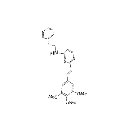 COc1cc(C=Cc2nccc(NCCc3ccccc3)n2)cc(OC)c1OC